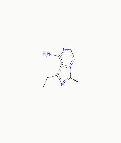 CCc1nc(C)n2ccnc(N)c12